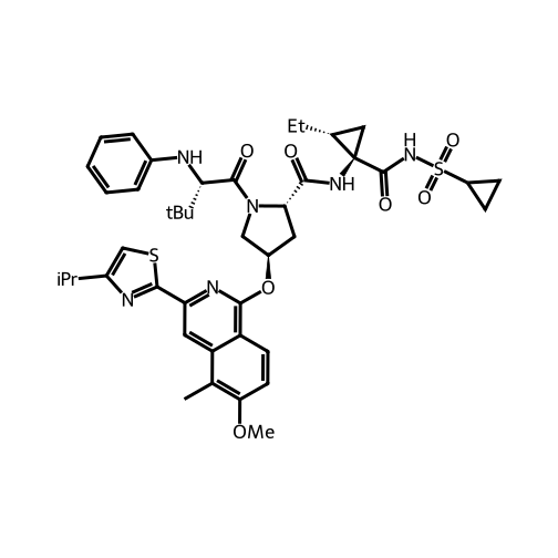 CC[C@@H]1C[C@]1(NC(=O)[C@@H]1C[C@@H](Oc2nc(-c3nc(C(C)C)cs3)cc3c(C)c(OC)ccc23)CN1C(=O)[C@@H](Nc1ccccc1)C(C)(C)C)C(=O)NS(=O)(=O)C1CC1